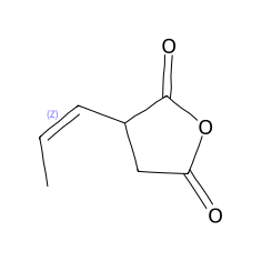 C/C=C\C1CC(=O)OC1=O